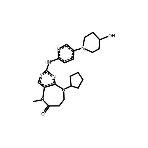 CN1C(=O)CCN(C2CCCC2)c2nc(Nc3ccc(N4CCC(O)CC4)cn3)ncc21